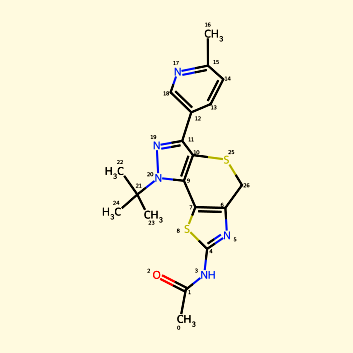 CC(=O)Nc1nc2c(s1)-c1c(c(-c3ccc(C)nc3)nn1C(C)(C)C)SC2